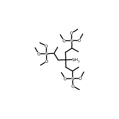 CO[Si](OC)(OC)C(C)CC([SiH3])(CC(C)[Si](OC)(OC)OC)CC(C)[Si](OC)(OC)OC